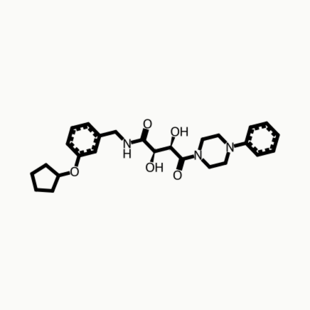 O=C(NCc1cccc(OC2CCCC2)c1)[C@H](O)[C@@H](O)C(=O)N1CCN(c2ccccc2)CC1